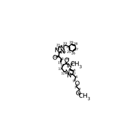 COCCOCCc1cc2n(n1)CC[C@H](/C=C/C(=O)c1ncn(Cc3ccccc3)n1)C(=O)N2C